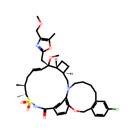 COCc1nc(C[C@]2(OC)/C=C/C[C@H](C)[C@@H](C)S(=O)(=O)NC(=O)c3ccc4c(c3)N(CCCCc3cc(Cl)ccc3CO4)C[C@@H]3CC[C@H]32)oc1C